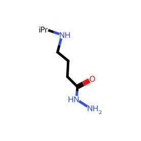 CC(C)NCCCC(=O)NN